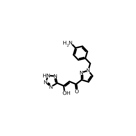 Nc1ccc(Cn2ccc(C(=O)C=C(O)c3nn[nH]n3)n2)cc1